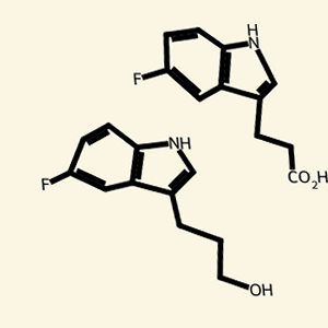 O=C(O)CCc1c[nH]c2ccc(F)cc12.OCCCc1c[nH]c2ccc(F)cc12